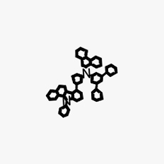 c1ccc(-c2cc(-c3ccccc3)cc(N(c3cccc(-c4cccc5c4c4ccc6ccccc6c4n5-c4ccccc4)c3)c3cc4ccccc4c4ccccc34)c2)cc1